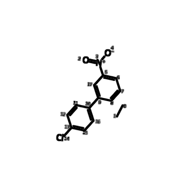 CC.O=[N+]([O-])c1cccc(-c2ccc(Cl)cc2)c1